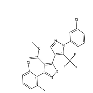 C=C(SC)c1c(-c2c(C)cccc2Cl)noc1-c1cnn(-c2cccc(Cl)c2)c1C(F)(F)F